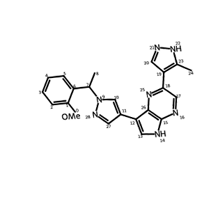 COc1ccccc1C(C)n1cc(-c2c[nH]c3ncc(-c4cn[nH]c4C)nc23)cn1